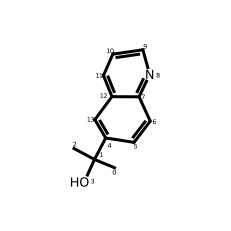 CC(C)(O)c1ccc2ncccc2c1